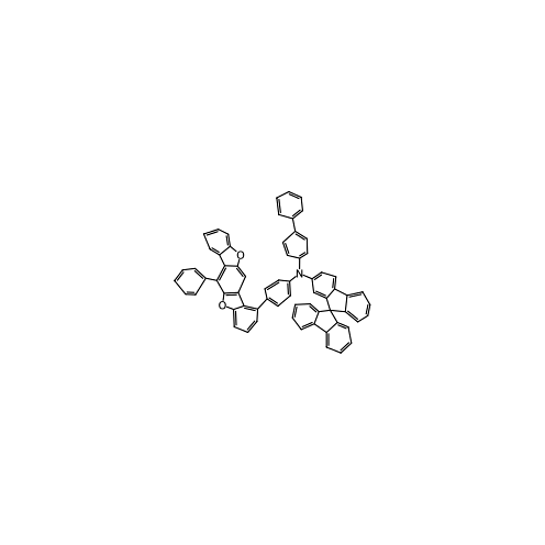 c1ccc(-c2ccc(N(c3ccc(-c4cccc5oc6c(-c7ccccc7)c7c(cc6c45)oc4ccccc47)cc3)c3ccc4c(c3)C3(c5ccccc5-c5ccccc53)c3ccccc3-4)cc2)cc1